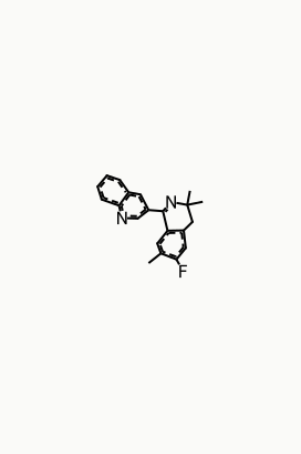 Cc1cc2c(cc1F)CC(C)(C)N=C2c1cnc2ccccc2c1